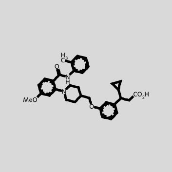 COc1ccc(C(=O)Nc2ccccc2C)c(N2CCC(COc3cccc(C(CC(=O)O)C4CC4)c3)CC2)c1